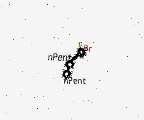 CCCCCC1CCC(C2CCC(C#Cc3ccc(Br)c(F)c3)(CCCCC)CC2)CC1